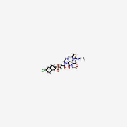 CN=c1scc(CN2CCN(C(=O)CCS(=O)(=O)c3ccc4cc(Cl)ccc4c3)C(C(=O)N3CCOCC3)C2)n1C